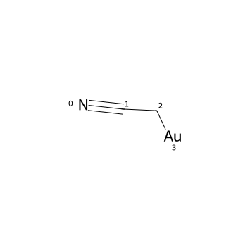 N#C[CH2][Au]